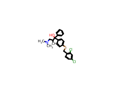 CC(CN(C)C)C(O)(c1ccccc1)c1ccc(SCc2ccc(Cl)cc2Cl)cc1